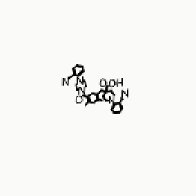 Cc1cc(C)c(C(=O)N2CCN(c3ccccc3C#N)CC2)cc1CC1(C(=O)O)CCN(c2ccccc2C#N)CC1